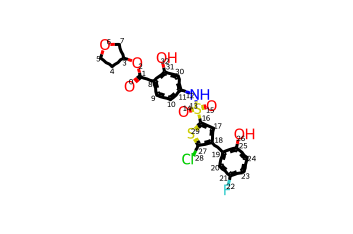 O=C(OC1CCOC1)c1ccc(NS(=O)(=O)c2cc(-c3cc(F)ccc3O)c(Cl)s2)cc1O